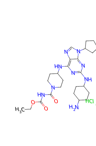 CCOC(=O)NC(=O)N1CCC(Nc2nc(NC3CCC(N)CC3)nc3c2ncn3C2CCCC2)CC1.Cl.Cl